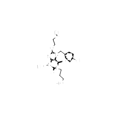 CCOCCOc1nc2c(c(=O)n(CCCO)c(=O)n2C)n1Cc1ccc(Cl)cc1